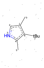 Cc1c[nH]c(C)c1C(C)(C)C